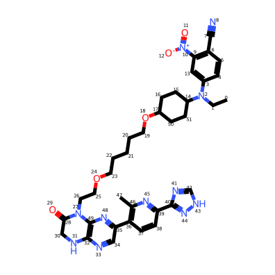 CCN(c1ccc(C#N)c([N+](=O)[O-])c1)C1CCC(OCCCCCOCCN2C(=O)CNc3ncc(-c4ccc(-c5nc[nH]n5)nc4C)nc32)CC1